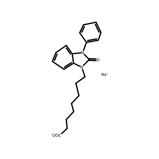 O=C([O-])CCCCCCCn1c(=O)n(-c2ccccc2)c2ccccc21.[Na+]